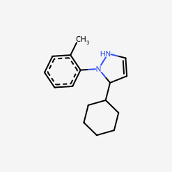 Cc1ccccc1N1NC=CC1C1CCCCC1